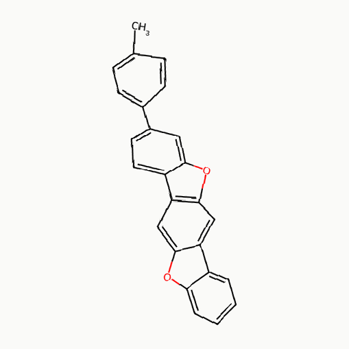 Cc1ccc(-c2ccc3c(c2)oc2cc4c(cc23)oc2ccccc24)cc1